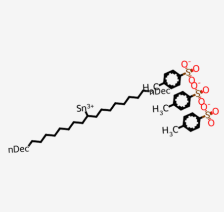 CCCCCCCCCCCCCCCCCC[CH]([Sn+3])CCCCCCCCCCCCCCCCCC.Cc1ccc(S(=O)(=O)[O-])cc1.Cc1ccc(S(=O)(=O)[O-])cc1.Cc1ccc(S(=O)(=O)[O-])cc1